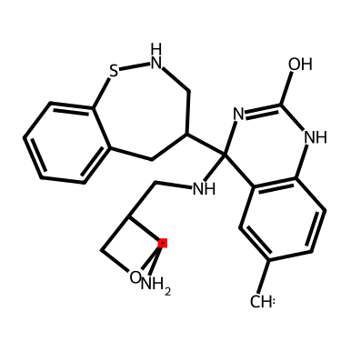 [CH]c1ccc2c(c1)C(NCC1(CN)COC1)(C1CNSc3ccccc3C1)N=C(O)N2